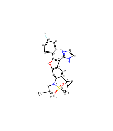 CC(C)CN(c1cc2oc(-c3ccc(F)cc3)c(-c3ncc[nH]3)c2cc1C1CC1)S(C)(=O)=O